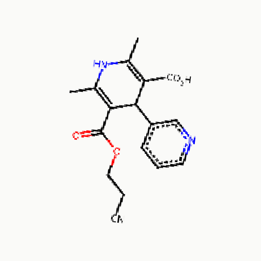 CC1=C(C(=O)O)C(c2cccnc2)C(C(=O)OCCC#N)=C(C)N1